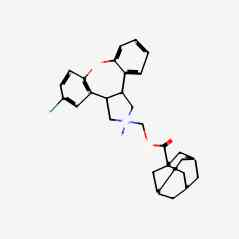 C[N+]1(COC(=O)C23CC4CC(CC(C4)C2)C3)CC2c3ccccc3Oc3ccc(Cl)cc3C2C1